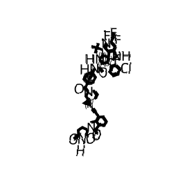 CC(C)(C)C[C@@H]1N[C@@H](C(=O)NC23CCC(C(=O)N4CCC[C@]5(C[C@@H]5C#Cc5cccc6c5CN(C5CCC(=O)NC5=O)C6=O)C4)(CC2)CC3)[C@H](c2cccc(Cl)c2F)[C@]12CNc1cc(C(F)(F)F)ncc12